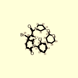 O=C(c1sc2c(ccc(=O)n2-c2ccccc2Cl)c1Br)N1CC[C@H](OC2CCCCO2)C1